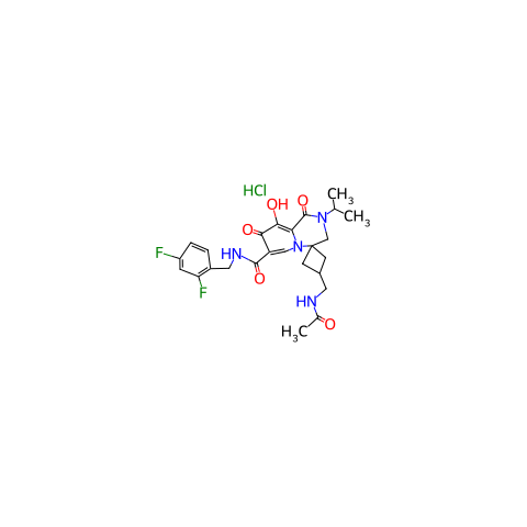 CC(=O)NCC1CC2(C1)CN(C(C)C)C(=O)c1c(O)c(=O)c(C(=O)NCc3ccc(F)cc3F)cn12.Cl